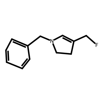 FCC1=CN(Cc2ccccc2)CC1